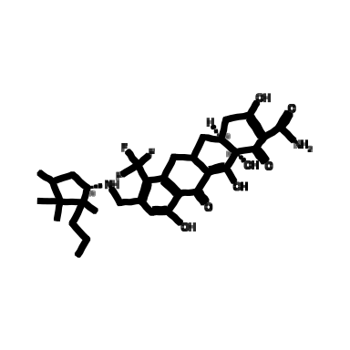 CCCC1(C)[C@@H](NCc2cc(O)c3c(c2C(F)(F)F)CC2C[C@H]4CC(O)=C(C(N)=O)C(=O)[C@@]4(O)C(O)=C2C3=O)CC(C)C1(C)C